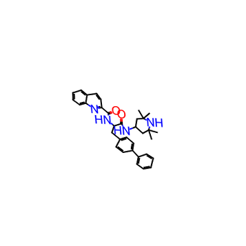 CC1(C)CC(NC(=O)C(Cc2ccc(-c3ccccc3)cc2)NC(=O)c2ccc3ccccc3n2)CC(C)(C)N1